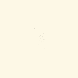 Cc1cc(C)c(CNC(=O)c2cc(Br)c3c(c2C)OC(C)(C2CCC(NC(=O)O)CC2)O3)c(=O)[nH]1